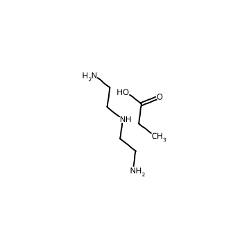 CCC(=O)O.NCCNCCN